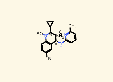 CC(=O)N1c2ccc(C#N)cc2[C@H](Nc2cccc(C)n2)[C@@H](C)[C@@H]1C1CC1